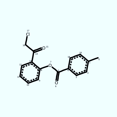 Cc1ccc(C(=O)Oc2ccccc2C(=O)CCl)cc1